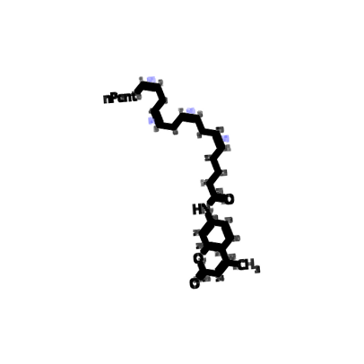 CCCCC/C=C\C/C=C\C/C=C\C/C=C\CCCC(=O)Nc1ccc2c(C)cc(=O)oc2c1